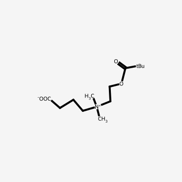 CC(C)(C)C(=O)OCC[N+](C)(C)CCCC(=O)[O-]